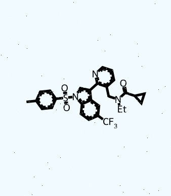 CCN(Cc1cccnc1-c1cn(S(=O)(=O)c2ccc(C)cc2)c2ccc(C(F)(F)F)cc12)C(=O)C1CC1